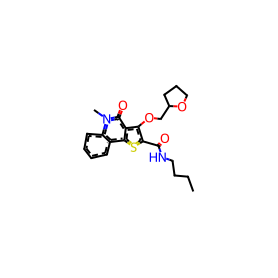 CCCCNC(=O)c1sc2c(c1OCC1CCCO1)c(=O)n(C)c1ccccc21